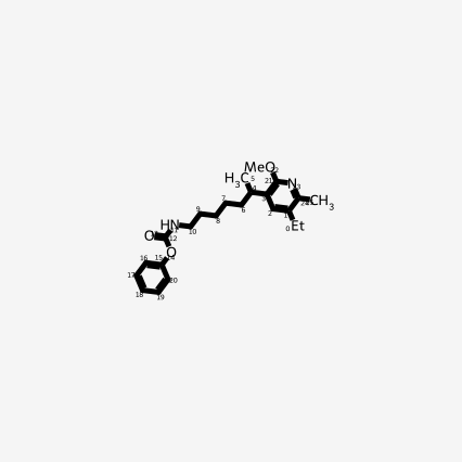 CCc1cc(C(C)CCCCCNC(=O)Oc2ccccc2)c(OC)nc1C